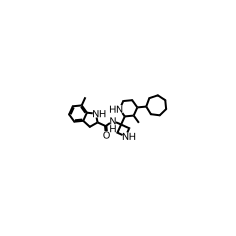 Cc1cccc2c1NC(C(=O)NC1(C3NCCC(C4CCCCCC4)C3C)CNC1)C2